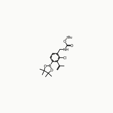 C=C(C)c1c(B2OC(C)(C)C(C)(C)O2)ccc(CNC(=O)OC(C)(C)C)c1Cl